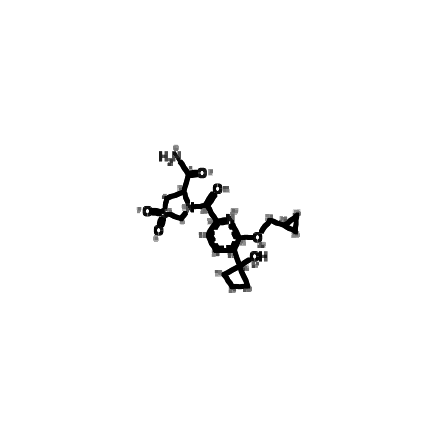 NC(=O)C1CS(=O)(=O)CN1C(=O)c1ccc(C2(O)CCC2)c(OCC2CC2)n1